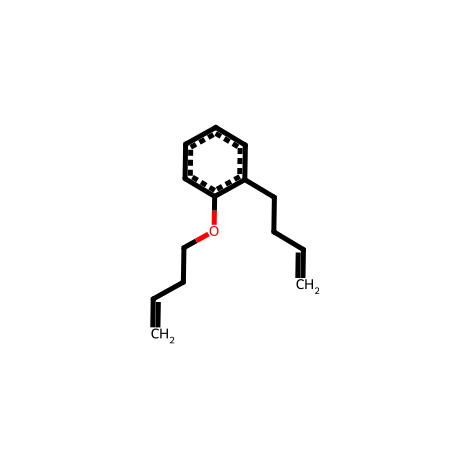 C=CCCOc1ccccc1CCC=C